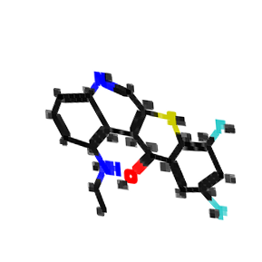 CCNc1cccc2ncc3sc4c(F)cc(F)cc4c(=O)c3c12